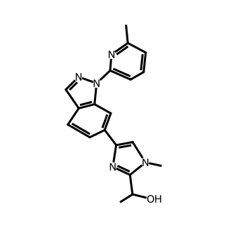 Cc1cccc(-n2ncc3ccc(-c4cn(C)c(C(C)O)n4)cc32)n1